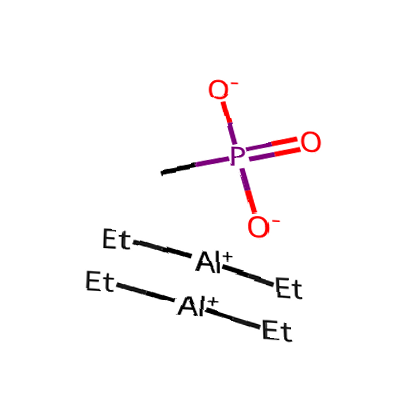 CP(=O)([O-])[O-].C[CH2][Al+][CH2]C.C[CH2][Al+][CH2]C